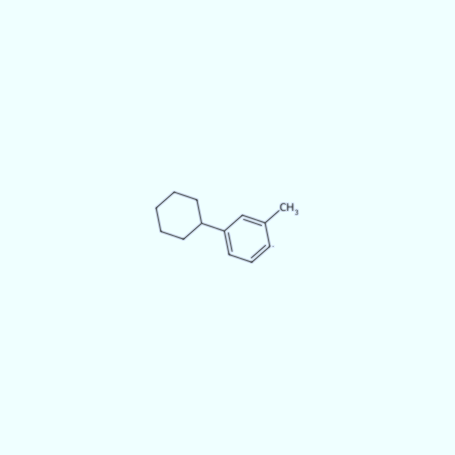 Cc1[c]ccc(C2CCCCC2)c1